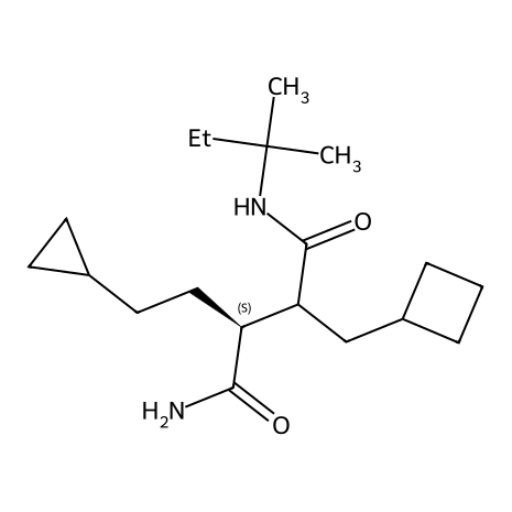 CCC(C)(C)NC(=O)C(CC1CCC1)[C@H](CCC1CC1)C(N)=O